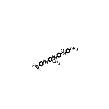 CCCCc1ccc(OC(=O)c2ccc(N=Nc3ccc(N=Nc4ccc(N(CC)CC)cc4)cc3C)cc2)cc1